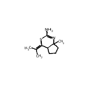 CC(C)=C1SC(N)=NC2(C)CCCC12